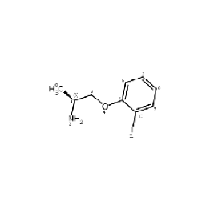 C[C@H](N)COc1ccccc1I